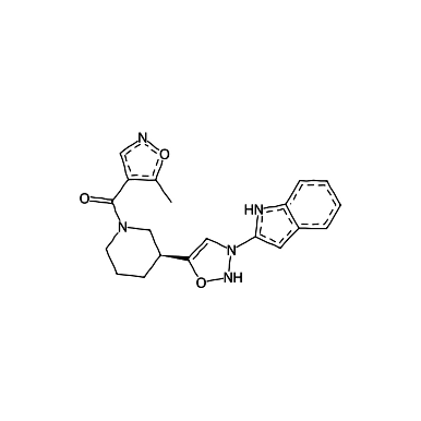 Cc1oncc1C(=O)N1CCC[C@H](C2=CN(c3cc4ccccc4[nH]3)NO2)C1